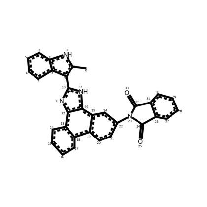 Cc1[nH]c2ccccc2c1-c1nc2c3ccccc3c3ccc(N4C(=O)c5ccccc5C4=O)cc3c2[nH]1